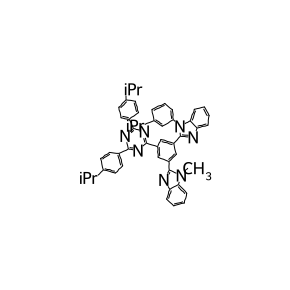 CC(C)c1ccc(-c2nc(-c3ccc(C(C)C)cc3)nc(-c3cc(-c4nc5ccccc5n4C)cc(-c4nc5ccccc5n4-c4cccc(C(C)C)c4)c3)n2)cc1